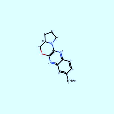 CC(=O)Nc1ccc2nc3c(nc2c1)OCC1CCCN31